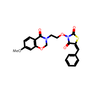 COc1ccc2c(c1)OCN(CCON1C(=O)SC(=Cc3ccccc3)C1=O)C2=O